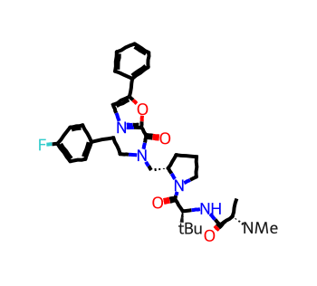 CN[C@@H](C)C(=O)N[C@H](C(=O)N1CCC[C@H]1CN(CCc1ccc(F)cc1)C(=O)c1ncc(-c2ccccc2)o1)C(C)(C)C